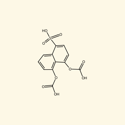 O=C(O)Oc1cccc2c(S(=O)(=O)O)ccc(OC(=O)O)c12